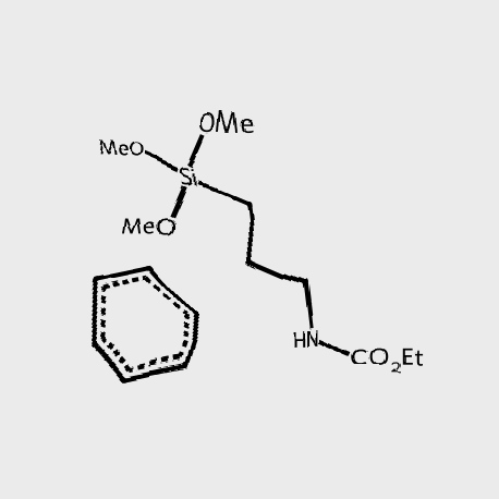 CCOC(=O)NCCC[Si](OC)(OC)OC.c1ccccc1